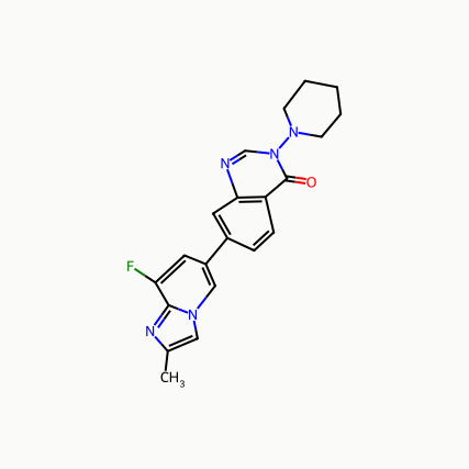 Cc1cn2cc(-c3ccc4c(=O)n(N5CCCCC5)cnc4c3)cc(F)c2n1